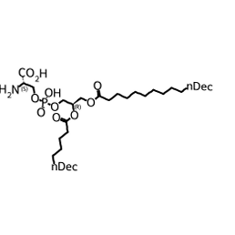 CCCCCCCCCCCCCCCCCCCC(=O)OC[C@H](COP(=O)(O)OC[C@H](N)C(=O)O)OC(=O)CCCCCCCCCCCCCC